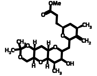 C=C1C(CC2O[C@H]3C[C@H]4OC(C)(C)OC[C@H]4O[C@H]3[C@H](C)C2O)O[C@@H](CCC(=O)OC)C[C@H]1C